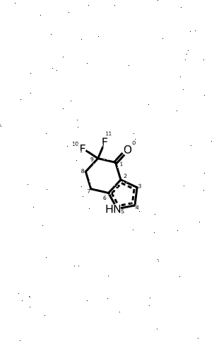 O=C1c2cc[nH]c2CCC1(F)F